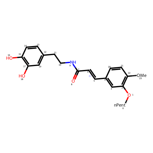 CCCCCOc1cc(/C=C/C(=O)NCCc2ccc(O)c(O)c2)ccc1OC